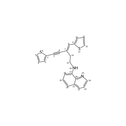 C(#Cc1cccs1)/C(=C/c1cccs1)CCNc1cccc2cccnc12